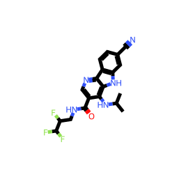 CC(C)Nc1c(C(=O)NCC(F)C(F)F)cnc2c1[nH]c1cc(C#N)ccc12